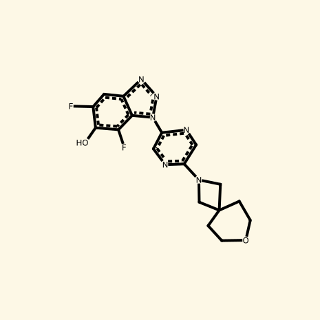 Oc1c(F)cc2nnn(-c3cnc(N4CC5(CCOCC5)C4)cn3)c2c1F